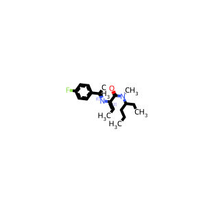 C/C=C(\N=C(/C)c1ccc(F)cc1)C(=O)N(C)C(CC)CCC